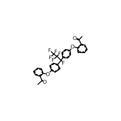 CC(=O)c1ccccc1Oc1ccc(C(F)(c2ccc(Oc3ccccc3C(C)=O)cc2)C(F)(F)C(F)(F)F)cc1